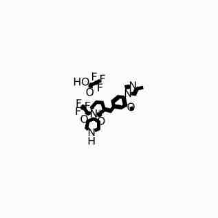 COc1cc(/C=C2\CCC[N+](C(=O)C(F)(F)F)(C3CCNCC3)C2=O)ccc1-n1cnc(C)c1.O=C(O)C(F)(F)F